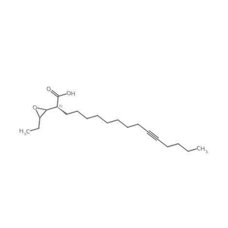 CCCCC#CCCCCCCCC[C@H](C(=O)O)C1OC1CC